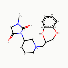 CC(C)N1CC(=O)N(C2CCCN(CC3COc4ccccc4O3)C2)C1=O